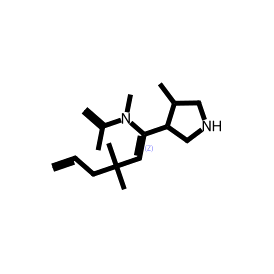 C=CCC(C)(C)/C=C(/C1CNCC1C)N(C)C(=C)C